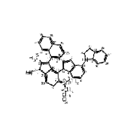 CC1=Cc2c(cccc2N2CCc3ccccc32)C1C1=C2C(=CCC1=[Si](C)C)[CH]([Hf+2])C(C)=C2c1cccc2ccccc12.[Cl-].[Cl-]